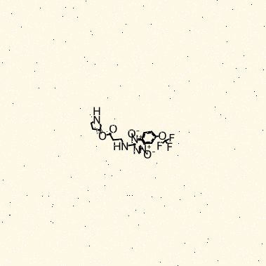 O=C(CCNc1n[n+]([O-])c2cc(OC(F)(F)F)ccc2[n+]1[O-])O[C@H]1CCNC1